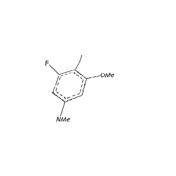 CNc1cc(F)c(C)c(OC)c1